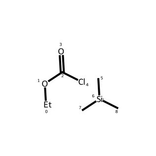 CCOC(=O)Cl.C[Si](C)C